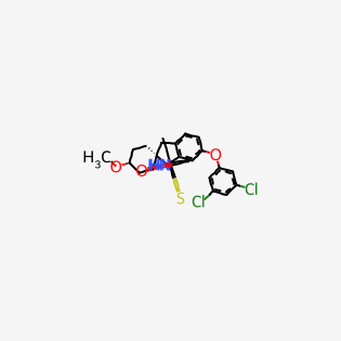 CO[C@H]1CC[C@]2(CC1)Cc1ccc(Oc3cc(Cl)cc(Cl)c3)cc1C21NC(=S)NC1=O